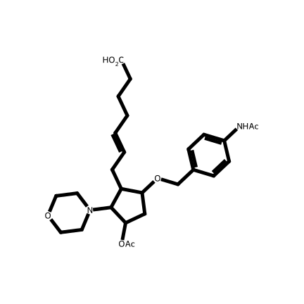 CC(=O)Nc1ccc(COC2CC(OC(C)=O)C(N3CCOCC3)C2CC=CCCCC(=O)O)cc1